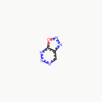 c1nnnc2onnc12